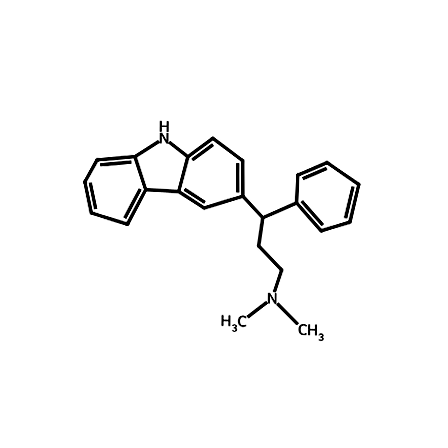 CN(C)CCC(c1ccccc1)c1ccc2[nH]c3ccccc3c2c1